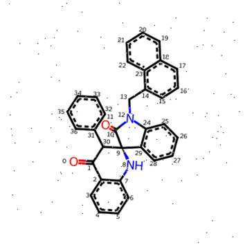 O=C1c2ccccc2N[C@]2(C(=O)N(Cc3cccc4ccccc34)c3ccccc32)C1c1ccccc1